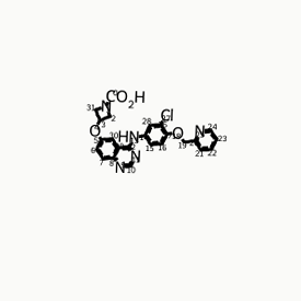 O=C(O)N1CC(Oc2ccc3ncnc(Nc4ccc(OCc5ccccn5)c(Cl)c4)c3c2)C1